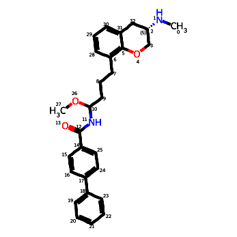 CN[C@@H]1COc2c(CCCC(NC(=O)c3ccc(-c4ccccc4)cc3)OC)cccc2C1